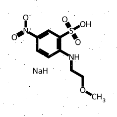 COCCNc1ccc([N+](=O)[O-])cc1S(=O)(=O)O.[NaH]